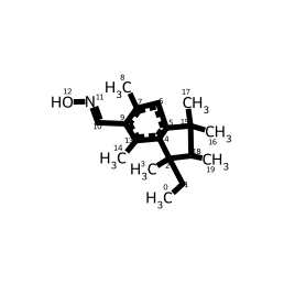 CCC1(C)c2c(cc(C)c(C=NO)c2C)C(C)(C)C1C